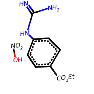 CCOC(=O)c1ccc(NC(=N)N)cc1.O=[N+]([O-])O